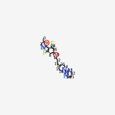 CC1CN=C(c2c(F)cc(OCCCC3CCN(c4ncccn4)CC3)cc2F)O1